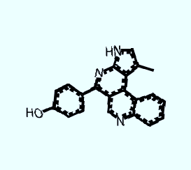 Cc1c[nH]c2nc(-c3ccc(O)cc3)c3cnc4ccccc4c3c12